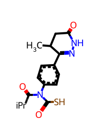 CC(C)C(=O)N(C(=O)S)c1ccc(C2=NNC(=O)CC2C)cc1